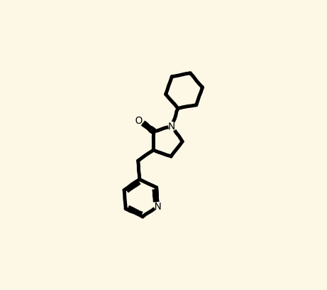 O=C1C(Cc2cccnc2)CCN1C1CCCCC1